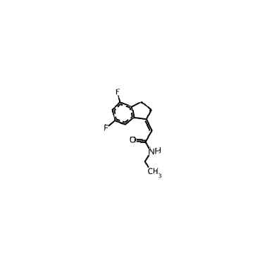 CCNC(=O)/C=C1/CCc2c(F)cc(F)cc21